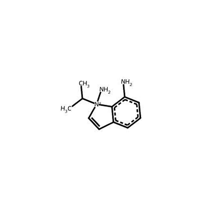 CC(C)[N+]1(N)C=Cc2cccc(N)c21